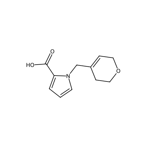 O=C(O)c1cccn1CC1=CCOCC1